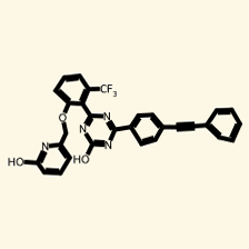 Oc1cccc(COc2cccc(C(F)(F)F)c2-c2nc(O)nc(-c3ccc(C#Cc4ccccc4)cc3)n2)n1